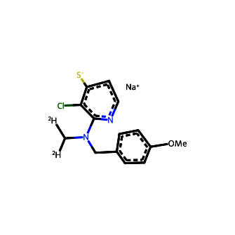 [2H]C([2H])N(Cc1ccc(OC)cc1)c1nccc([S-])c1Cl.[Na+]